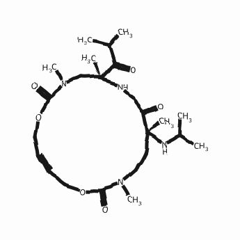 CC(C)N[C@]1(C)CCN(C)C(=O)OCC=CCOC(=O)N(C)C[C@](C)(C(=O)C(C)C)NCC1=O